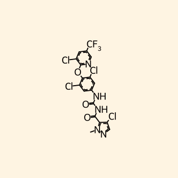 Cn1ncc(Cl)c1C(=O)NC(=O)Nc1cc(Cl)c(Oc2ncc(C(F)(F)F)cc2Cl)c(Cl)c1